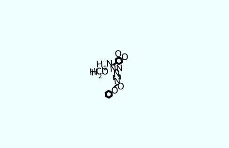 COc1cc2nc(N3CCN(C(=O)COc4ccccc4)CC3)nc(N)c2cc1OC.Cl.O